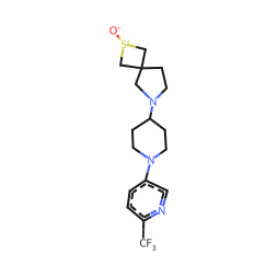 [O-][S+]1CC2(CCN(C3CCN(c4ccc(C(F)(F)F)nc4)CC3)C2)C1